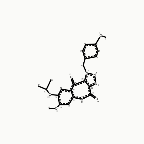 COc1ccc(Cn2nnc3c(=O)[nH]c4cc(OC)c(OC(C)C)cc4c(=O)c32)cc1